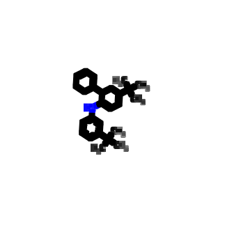 CC(C)(C)C1=CC=C(Nc2cccc(C(C)(C)C)c2)C(C2=CC=CCC2)C1